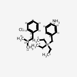 CC[N+](CC)(CC)Cc1ccccc1.CN(C)Cc1ccccc1.N.[Cl-]